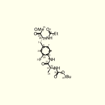 CCC(=O)N[C@H](Cc1ccc(NC(=O)[C@H](C)NC(=O)OC(C)(C)C)c(F)c1)C(=O)OC